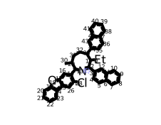 CCC1/C(c2ccc3ccccc3c2)=N\C(c2cc3oc4ccccc4c3cc2Cl)C(C)CCC1c1ccc2ccccc2c1